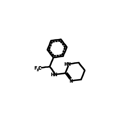 FC(F)(F)C(NC1=NCCCN1)c1ccccc1